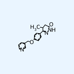 CC1CC(=O)NN=C1c1ccc(OCc2cccnc2)cc1